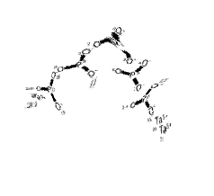 [O-]P([O-])[O-].[O-]P([O-])[O-].[O-]P([O-])[O-].[O-]P([O-])[O-].[O-]P([O-])[O-].[Ta+5].[Ta+5].[Ta+5]